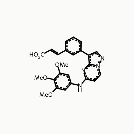 COc1cc(Nc2ccn3ncc(-c4cccc(C=CC(=O)O)c4)c3n2)cc(OC)c1OC